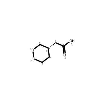 O=C(O)C[C@@H]1CCOOC1